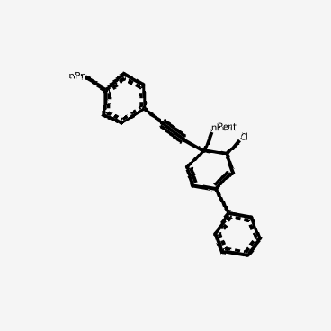 CCCCCC1(C#Cc2ccc(CCC)cc2)C=CC(c2ccccc2)=CC1Cl